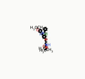 CC(C)Oc1ccc2c(c1)nc(-c1ccc(OCCCNC(=O)OC(C)(C)C)cc1Cl)n2Cc1ccccc1